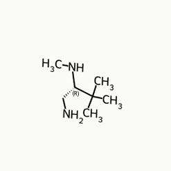 CN[C@@H](CN)C(C)(C)C